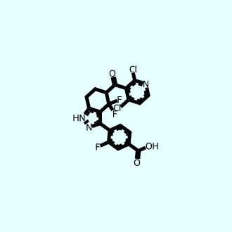 O=C(O)c1ccc(-c2n[nH]c3c2C(F)(F)C(C(=O)c2c(Cl)ccnc2Cl)CC3)c(F)c1